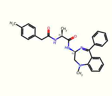 Cc1ccc(CC(=O)N[C@@H](C)C(=O)N[C@@H]2CN(C)c3ccccc3C(c3ccccc3)=N2)cc1